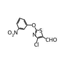 O=Cc1sc(Oc2cccc([N+](=O)[O-])c2)nc1Cl